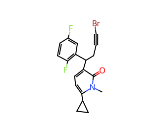 Cn1c(C2CC2)ccc(C(CC#CBr)c2cc(F)ccc2F)c1=O